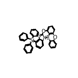 c1ccc([Si](c2ccccc2)(c2ccccc2)c2cccc3c2nc2n3B3c4ccccc4Oc4cccc(c43)O2)cc1